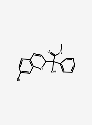 COC(=O)C(O)(c1ccccc1)C1C=Cc2ccc(Br)cc2O1